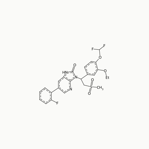 CCOc1cc(C(CS(C)(=O)=O)n2c(=O)[nH]c3cc(-c4ccccc4F)cnc32)ccc1OC(F)F